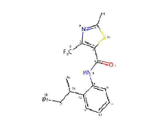 Cc1nc(C(F)(F)F)c(C(=O)Nc2ccccc2C(C)CC(C)C)s1